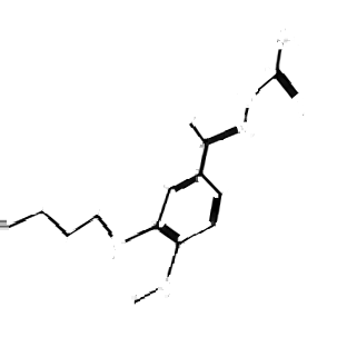 CCCCOc1cc(/C(C)=N/OC(N)=O)ccc1OC